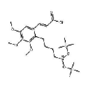 COc1cc(C=CC(=O)O)c(CCCC[SiH](O[Si](C)(C)C)O[Si](C)(C)C)c(OC)c1OC